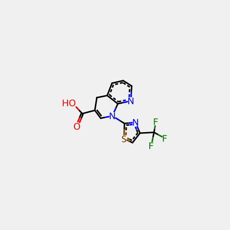 O=C(O)C1=CN(c2nc(C(F)(F)F)cs2)c2ncccc2C1